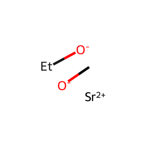 CC[O-].C[O-].[Sr+2]